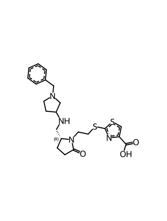 O=C(O)c1csc(SCCN2C(=O)CC[C@@H]2CNC2CCN(Cc3ccccc3)C2)n1